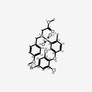 COC(=O)CN(Cc1ccc(OC)cc1)S(=O)(=O)c1cc(Oc2c(Cl)cc(Br)cc2Cl)ccc1C